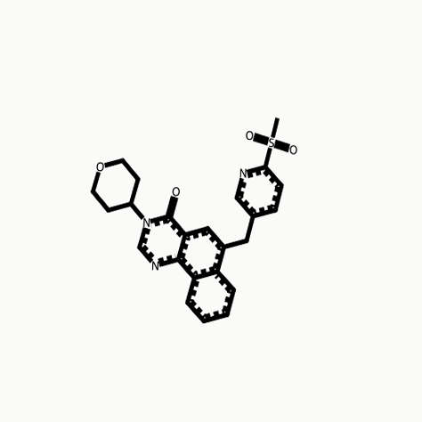 CS(=O)(=O)c1ccc(Cc2cc3c(=O)n(C4CCOCC4)cnc3c3ccccc23)cn1